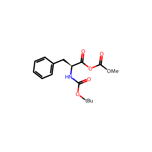 COC(=O)OC(=O)[C@H](Cc1ccccc1)NC(=O)OC(C)(C)C